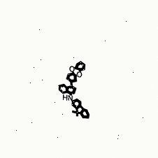 CC1(C)c2ccccc2-c2ccc(Nc3ccc(-c4ccc5c(c4)Oc4ccccc4O5)c4c3CCC=C4)cc21